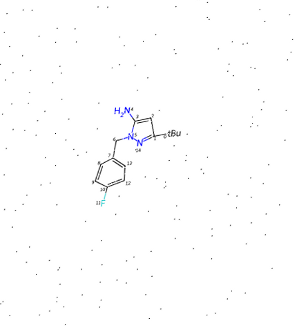 CC(C)(C)c1cc(N)n(Cc2ccc(F)cc2)n1